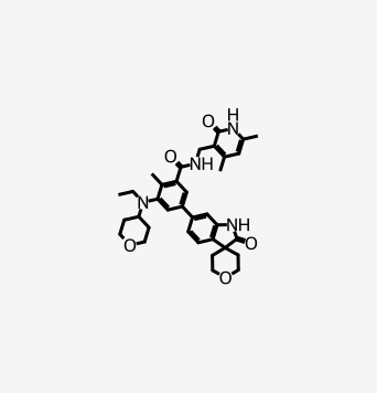 CCN(c1cc(-c2ccc3c(c2)NC(=O)C32CCOCC2)cc(C(=O)NCc2c(C)cc(C)[nH]c2=O)c1C)C1CCOCC1